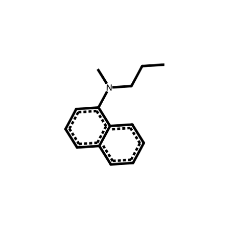 CCCN(C)c1cccc2ccccc12